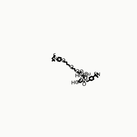 Cc1ncsc1-c1ccc(CNC(=O)[C@@H]2C[C@@H](O)CN2C(=O)[C@@H](NC(=O)COCCCOCCCCCOc2ccc(N3C(=S)CC3(C)C)cc2)C(C)(C)C)cc1